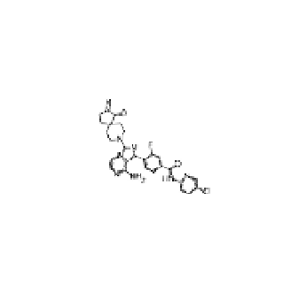 Nc1nccn2c(N3CCC4(CCNC4=O)CC3)nc(-c3ccc(C(=O)Nc4ccc(Cl)cn4)cc3F)c12